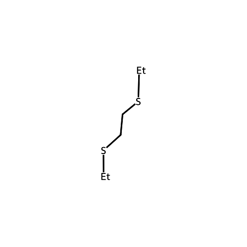 [CH2]CSCCSCC